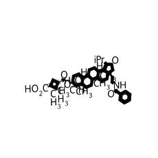 CC(C)C1=C2[C@H]3CC[C@@H]4[C@@]5(C)CC[C@H](OC(=O)[C@H]6C[C@@H](C(=O)O)C6(C)C)C(C)(C)[C@@H]5CC[C@@]4(C)[C@]3(C)CC[C@@]2(CCNC(=O)c2ccccc2)CC1=O